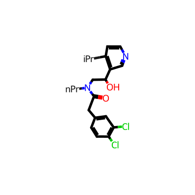 CCCN(CC(O)c1cnccc1C(C)C)C(=O)Cc1ccc(Cl)c(Cl)c1